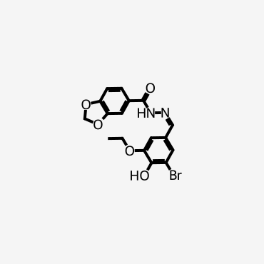 CCOc1cc(/C=N\NC(=O)c2ccc3c(c2)OCO3)cc(Br)c1O